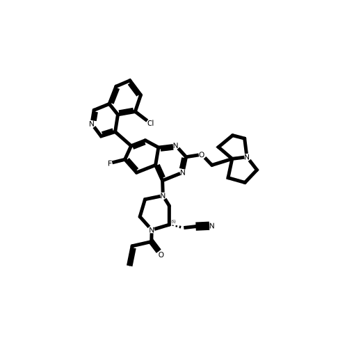 C=CC(=O)N1CCN(c2nc(OCC34CCCN3CCC4)nc3cc(-c4cncc5cccc(Cl)c45)c(F)cc23)C[C@@H]1CC#N